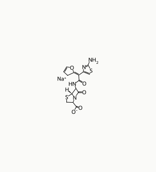 Nc1nc(C(C(=O)NC2C(=O)N3C(C(=O)[O-])CS[C@H]23)=C2CC=CO2)cs1.[Na+]